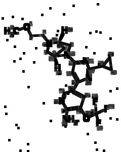 COCCN1C[C@@H]2C[C@H]1CN2c1cc(-c2cnc(N)c(OC(F)(F)F)c2)nc(C2CC2)n1